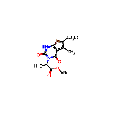 CCCCOC(=O)C(C)n1c(=O)[nH]c2sc(C(=O)OCC)c(C)c2c1=O